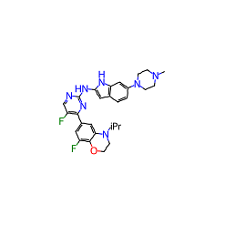 CC(C)N1CCOc2c(F)cc(-c3nc(Nc4cc5ccc(N6CCN(C)CC6)cc5[nH]4)ncc3F)cc21